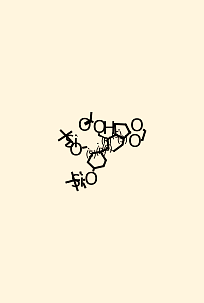 CC(=O)OC[C@@H]1[C@@H]([C@@]2(C)CCC(O[Si](C)(C)C(C)(C)C)C[C@@H]2CO[Si](C)(C)C(C)(C)C)CC[C@@]2(C)[C@H]1CCC21OCCO1